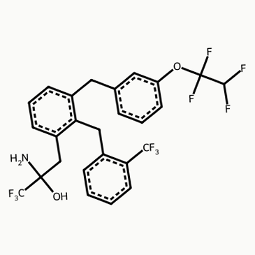 NC(O)(Cc1cccc(Cc2cccc(OC(F)(F)C(F)F)c2)c1Cc1ccccc1C(F)(F)F)C(F)(F)F